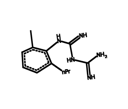 CCCc1cccc(C)c1NC(=N)NC(=N)N